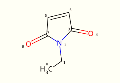 CCN1C(=O)C=CC1=O